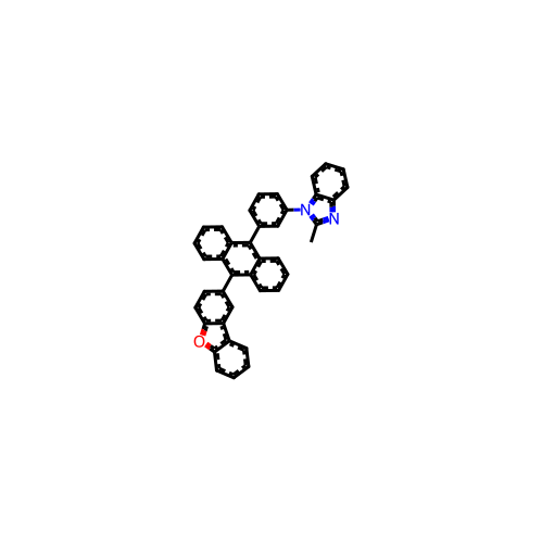 Cc1nc2ccccc2n1-c1cccc(-c2c3ccccc3c(-c3ccc4oc5ccccc5c4c3)c3ccccc23)c1